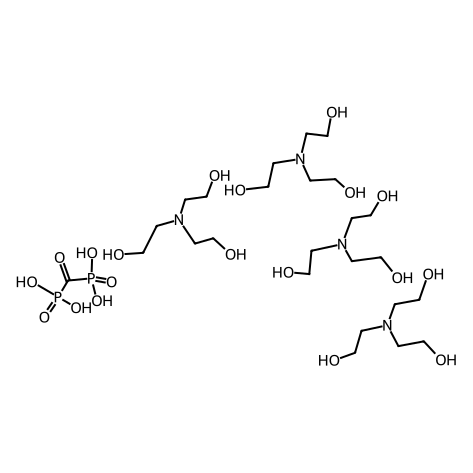 O=C(P(=O)(O)O)P(=O)(O)O.OCCN(CCO)CCO.OCCN(CCO)CCO.OCCN(CCO)CCO.OCCN(CCO)CCO